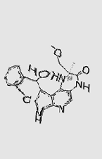 COC[C@]1(C)Nc2c(cnc3[nH]cc(C(O)c4ccccc4Cl)c23)NC1=O